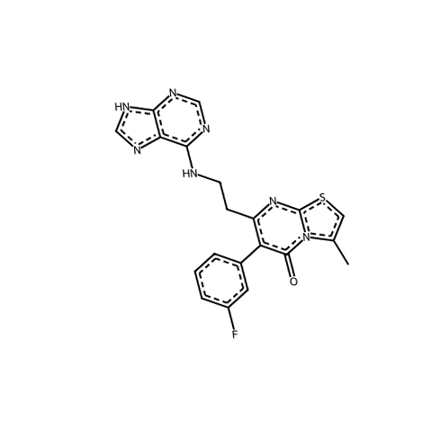 Cc1csc2nc(CCNc3ncnc4[nH]cnc34)c(-c3cccc(F)c3)c(=O)n12